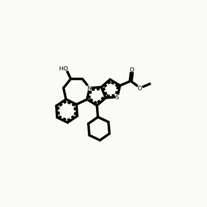 COC(=O)c1cc2c(s1)c(C1CCCCC1)c1n2CC(O)Cc2ccccc2-1